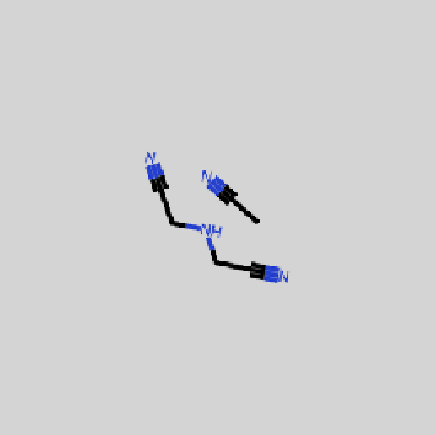 CC#N.N#CCNCC#N